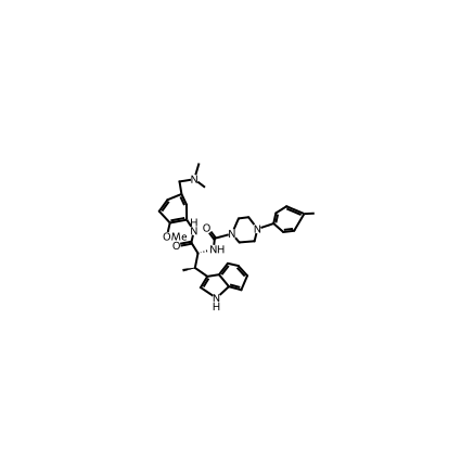 COc1ccc(CN(C)C)cc1NC(=O)[C@H](NC(=O)N1CCN(c2ccc(C)cc2)CC1)[C@H](C)c1c[nH]c2ccccc12